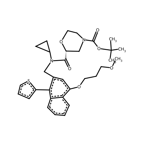 COCCCOc1cc(CN(C(=O)[C@H]2CN(C(=O)OC(C)(C)C)CCO2)C2CC2)c(-c2cccs2)c2ccccc12